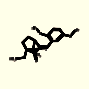 CCCOc1ccc(OCCC)c(C=C2C(=O)C3(CS(=O)(=O)O)CCC2C3(C)C)c1